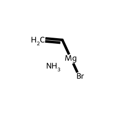 C=[CH][Mg][Br].N